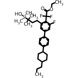 CCCC1CCC(c2ccc(-c3cc(F)c(C(F)(F)C(=O)OCC)c(CCC(C)(C)[Si](C)(C)O)c3)cc2)CC1